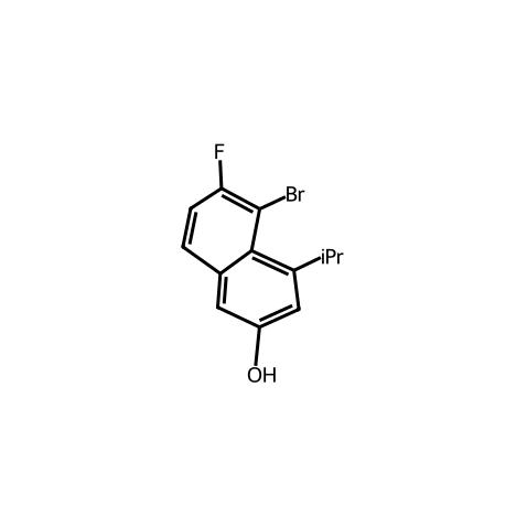 CC(C)c1cc(O)cc2ccc(F)c(Br)c12